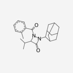 Cc1ccccc1C(=O)N1C(C(C)C)C(=O)N1C1C2CC3CC(C2)CC1C3